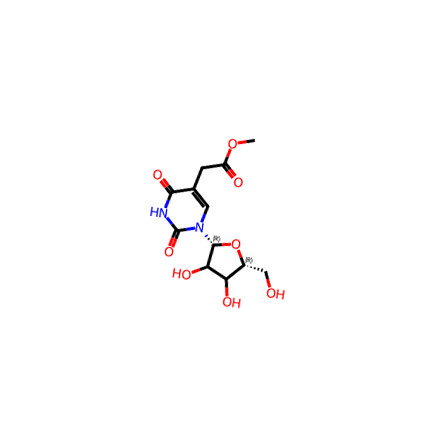 COC(=O)Cc1cn([C@@H]2O[C@H](CO)C(O)C2O)c(=O)[nH]c1=O